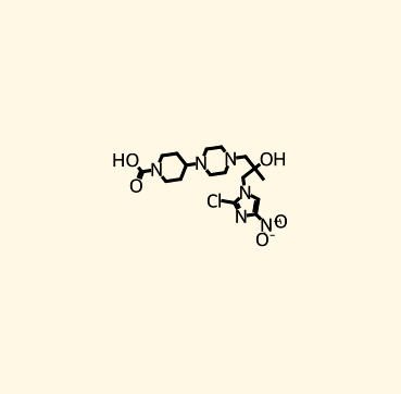 CC(O)(CN1CCN(C2CCN(C(=O)O)CC2)CC1)Cn1cc([N+](=O)[O-])nc1Cl